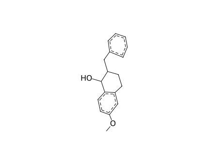 COc1ccc2c(c1)CCC(Cc1ccccc1)C2O